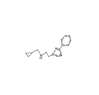 c1ccc(-c2ccn(CCNCC3CC3)n2)cc1